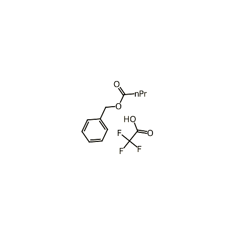 CCCC(=O)OCc1ccccc1.O=C(O)C(F)(F)F